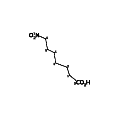 O=C(O)CCCCCC[N+](=O)[O-]